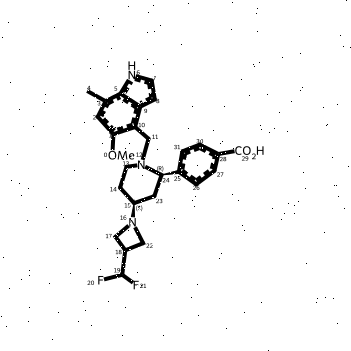 COc1cc(C)c2[nH]ccc2c1CN1CC[C@H](N2CC(C(F)F)C2)C[C@@H]1c1ccc(C(=O)O)cc1